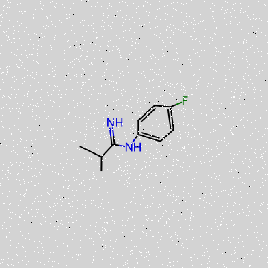 CC(C)C(=N)Nc1ccc(F)cc1